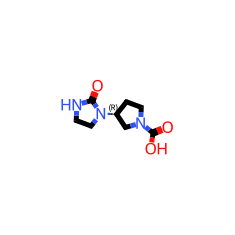 O=C(O)N1CC[C@@H](N2CCNC2=O)C1